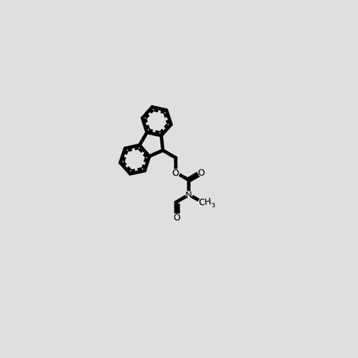 CN(C=O)C(=O)OCC1c2ccccc2-c2ccccc21